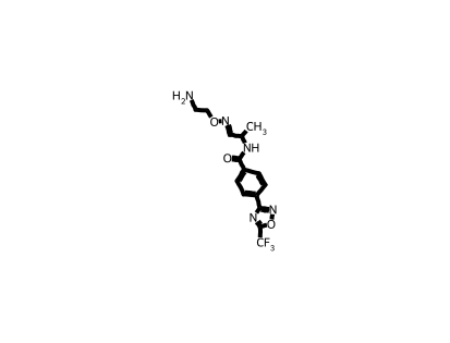 CC(C=NOCCN)NC(=O)c1ccc(-c2noc(C(F)(F)F)n2)cc1